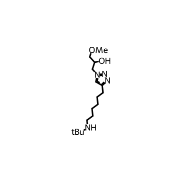 COCC(O)Cn1cc(CCCCCCNC(C)(C)C)nn1